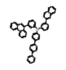 c1ccc(-c2ccc(-c3ccc(N(c4cccc(-c5ccc6ccccc6c5)c4)c4cccc(-c5cc6ccccc6c6ccccc56)c4)cc3)cc2)cc1